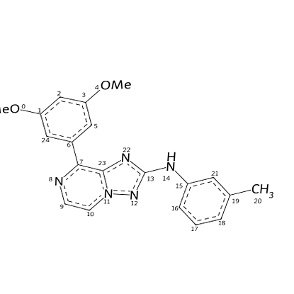 COc1cc(OC)cc(-c2nccn3nc(Nc4cccc(C)c4)nc23)c1